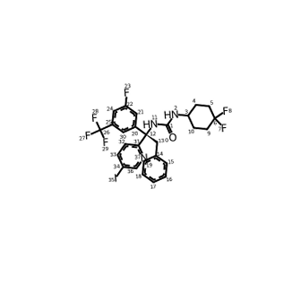 O=C(NC1CCC(F)(F)CC1)N[C@@](Cc1ccccc1)(c1cc(F)cc(C(F)(F)F)c1)c1ccc(I)cn1